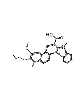 CCCCc1c(OC)cc2c(ccc3c2cc(C(=O)O)c2c3c3ccccc3n2C)c1F